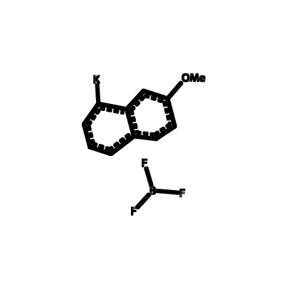 COc1ccc2ccc[c]([K])c2c1.FB(F)F